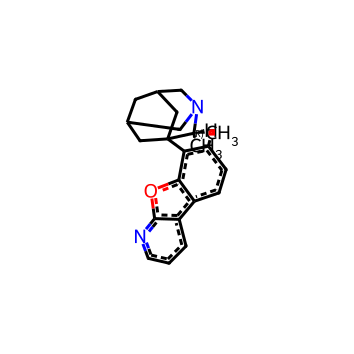 Cc1ccc2c(oc3ncccc32)c1C12CC3CC(CN(C3)[C@@H]1C)C2